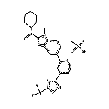 CS(=O)(=O)O.Cn1c(C(=O)N2CCOCC2)cc2cc(-c3cc(-c4noc(C(F)(F)F)n4)ccn3)ncc21